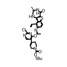 C=Cc1c(/N=C(\C)Oc2nc(Cl)ncc2C2=CCN(C(=O)OC(C)(C)C)CC2)ccc2sc3c(c12)NC[C@@H](C)NC3=O